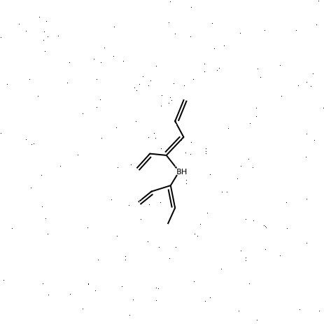 C=C/C=C(/B/C(C=C)=C/C)C=C